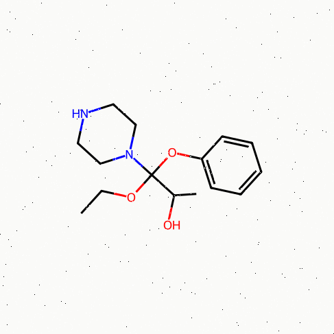 CCOC(Oc1ccccc1)(C(C)O)N1CCNCC1